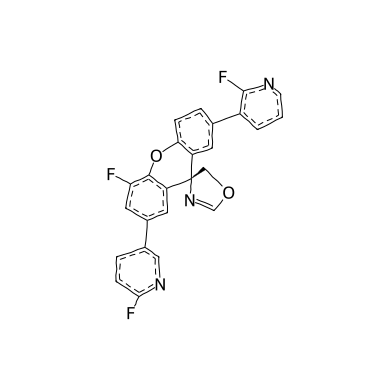 Fc1ccc(-c2cc(F)c3c(c2)[C@]2(COC=N2)c2cc(-c4cccnc4F)ccc2O3)cn1